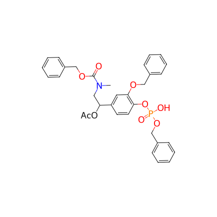 CC(=O)OC(CN(C)C(=O)OCc1ccccc1)c1ccc(OP(=O)(O)OCc2ccccc2)c(OCc2ccccc2)c1